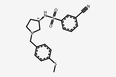 CSc1ccc(CN2CC[C@@H](NS(=O)(=O)c3cccc(C#N)c3)C2)cc1